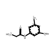 COc1cc(NC(=O)CC(=O)O)cc(C(F)(F)F)c1